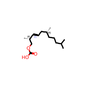 CC(C)CCC[C@@H](C)C/C=C/[C@@H](C)COC(=O)O